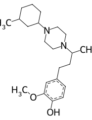 COc1cc(CCC(C)N2CCN(C3CCCC(C)C3)CC2)ccc1O